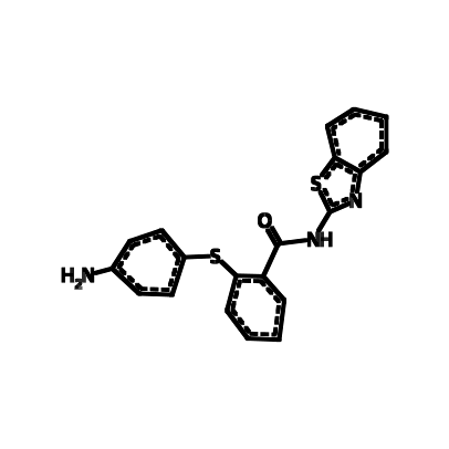 Nc1ccc(Sc2ccccc2C(=O)Nc2nc3ccccc3s2)cc1